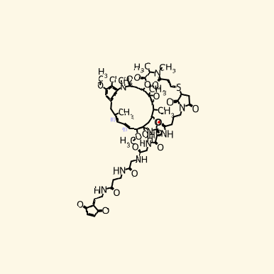 COc1cc2cc(c1Cl)N(C)C(=O)CC(OC(=O)C(C)N(C)C(=O)CCSC1CC(=O)N(CCCC(=O)NCC(=O)NCC(=O)NCC(=O)NCCC(=O)NCCC3C(=O)C=CC3=O)C1=O)C1(C)OC1C(C)C1CC(O)(NC(=O)O1)C(OC)/C=C/C=C(\C)C2